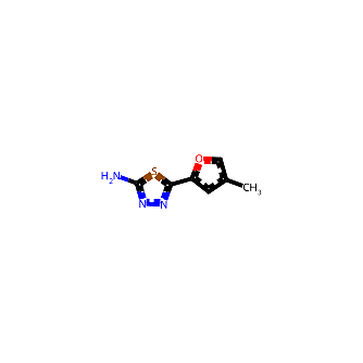 Cc1coc(-c2nnc(N)s2)c1